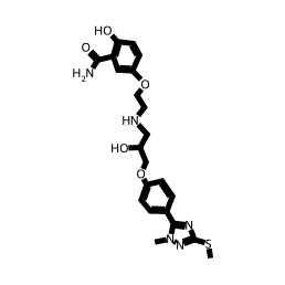 CSc1nc(-c2ccc(OCC(O)CNCCOc3ccc(O)c(C(N)=O)c3)cc2)n(C)n1